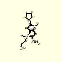 CN(CCO)n1c(N)cc2c1cc(N1CCCC1)n2C